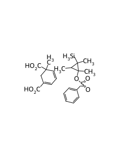 CC1(C(=O)O)C=CC=C(C(=O)O)C1.CC1C(C)([SiH3])C1(C)OS(=O)(=O)c1ccccc1